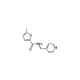 Cc1ccc(C(=O)NCc2ccncc2)s1